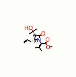 C=CC[C@@H]1[C@H](C(C)(C)O)C(=O)N1C(C(=O)OC)=C(C)C